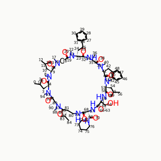 CC(C)C[C@H]1C(=O)N(C)[C@@H](CC(C)C)C(=O)N(C)CC(=O)N(C)[C@H](CCc2ccccc2)C(=O)N[C@@H](C)C(=O)N(C)[C@@H](Cc2ccccc2)C(=O)N(C)[C@@H](CC(C)C)C(=O)N[C@@H]([C@@H](C)O)C(=O)N[C@H](C(=O)N2CCCCC2)C(=O)NC[C@H](C(C)C)C(=O)N(C)[C@H](C)C(=O)N1C